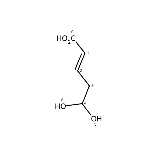 O=C(O)C=CCC(O)O